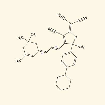 CC1=C/C(=C/C=C/C2=C(C#N)C(=C(C#N)C#N)OC2(C)c2ccc(C3CCCCC3)cc2)CC(C)(C)C1